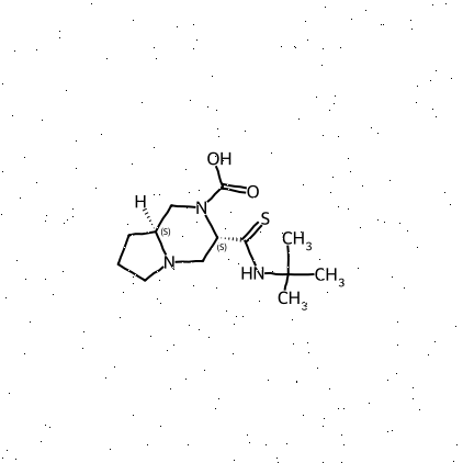 CC(C)(C)NC(=S)[C@@H]1CN2CCC[C@H]2CN1C(=O)O